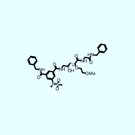 COCCO[C@H](C[C@H](O)CNC(=O)c1cc(C(=O)NCc2ccccc2)cc(N(C)S(C)(=O)=O)c1)C(=O)NCC(=O)NCc1ccccc1